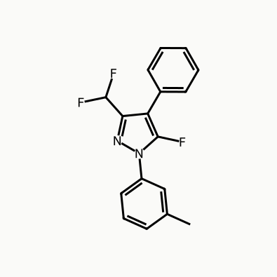 Cc1cccc(-n2nc(C(F)F)c(-c3ccccc3)c2F)c1